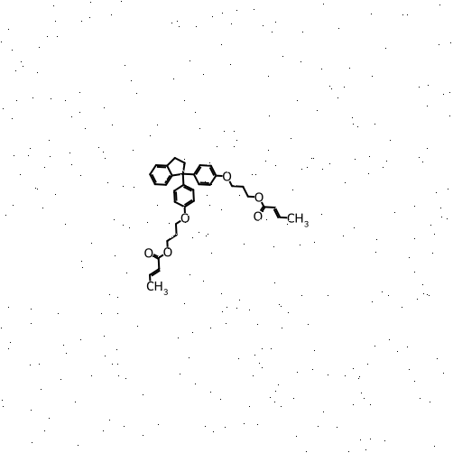 CC=CC(=O)OCCCOc1ccc(C2(c3ccc(OCCCOC(=O)C=CC)cc3)CCc3ccccc32)cc1